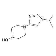 CC(C)n1cnc(N2CCC(O)CC2)c1